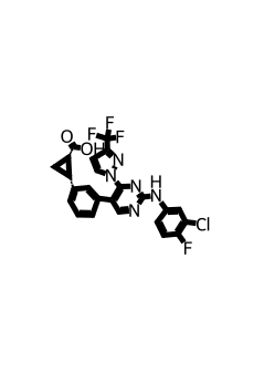 O=C(O)[C@H]1C[C@H]1c1cccc(-c2cnc(Nc3ccc(F)c(Cl)c3)nc2-n2ccc(C(F)(F)F)n2)c1